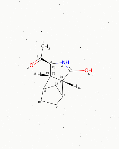 CC(=O)[C@H]1NC(O)[C@@H]2C3CCC(C3)[C@@H]21